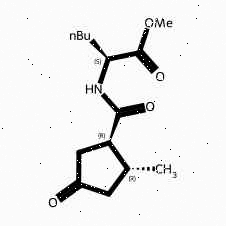 CCCC[C@H](NC(=O)[C@@H]1CC(=O)C[C@H]1C)C(=O)OC